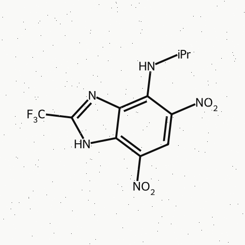 CC(C)Nc1c([N+](=O)[O-])cc([N+](=O)[O-])c2[nH]c(C(F)(F)F)nc12